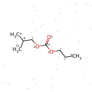 C[CH]COC(=O)OCC(C)C